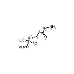 CCCCCCCC[PH](CCCCCCCC)(CCCCCCCC)[Sn][CH2]CC(=O)NN